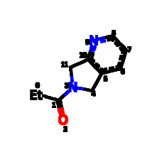 CCC(=O)N1Cc2cccnc2C1